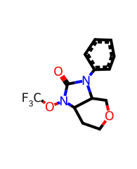 O=C1N(OC(F)(F)F)C2CCOCC2N1c1ccccc1